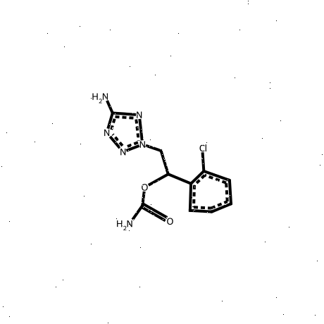 NC(=O)OC(Cn1nnc(N)n1)c1ccccc1Cl